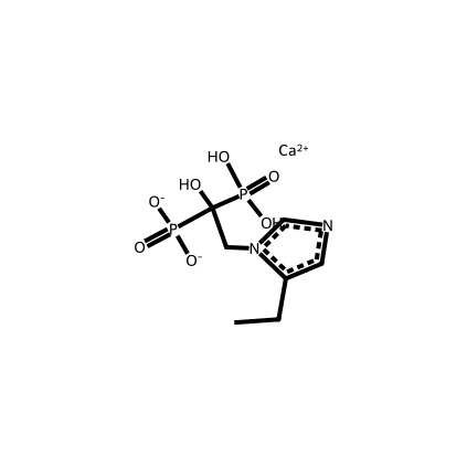 CCc1cncn1CC(O)(P(=O)([O-])[O-])P(=O)(O)O.[Ca+2]